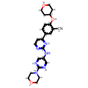 N#Cc1cc(-c2ccnc(Nc3cnc(N4CCOCC4)nc3)n2)ccc1OC1CCOCC1